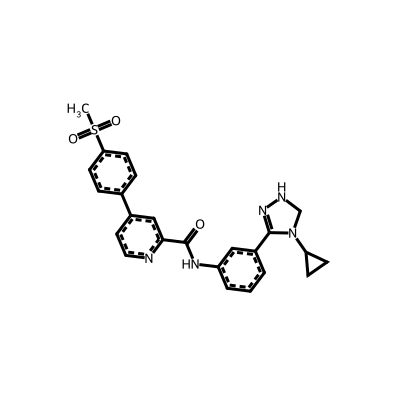 CS(=O)(=O)c1ccc(-c2ccnc(C(=O)Nc3cccc(C4=NNCN4C4CC4)c3)c2)cc1